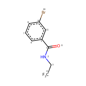 O=C(NCC(F)(F)F)c1cccc(Br)c1